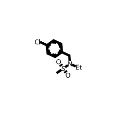 CCN(Cc1ccc(Cl)cc1)S(C)(=O)=O